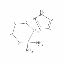 NC1(N)CCCCC1.c1c[nH]nn1